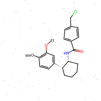 CCOc1cc([C@H]2CCCC[C@H]2NC(=O)c2ccc(CCl)cc2)ccc1OC